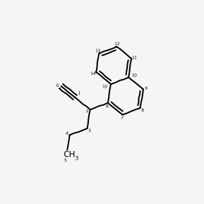 [C]#CC(CCC)c1cccc2ccccc12